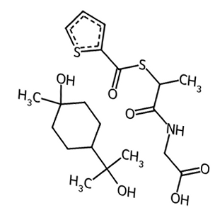 CC(SC(=O)c1cccs1)C(=O)NCC(=O)O.CC1(O)CCC(C(C)(C)O)CC1